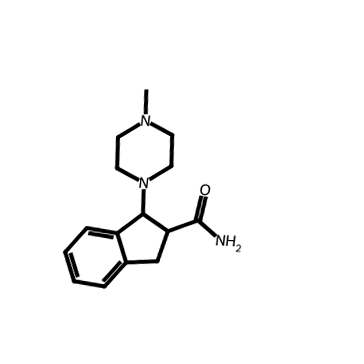 CN1CCN(C2c3ccccc3CC2C(N)=O)CC1